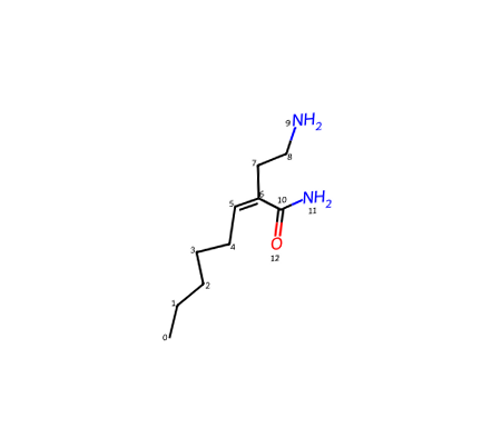 CCCCCC=C(CCN)C(N)=O